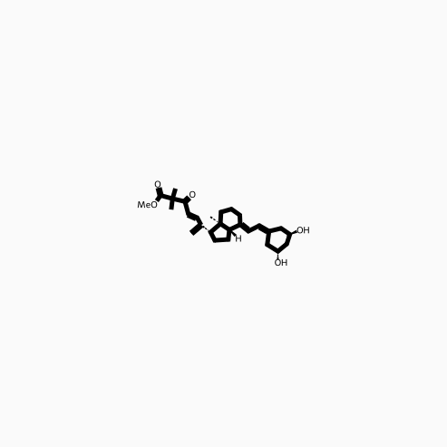 C=C(/C=C/C(=O)C(C)(C)C(=O)OC)[C@H]1CC[C@H]2/C(=C/C=C3C[C@@H](O)C[C@H](O)C3)CCC[C@]12C